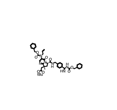 C=CCN(C(=O)OCc1ccccc1)c1cnc2n(c1=O)[C@@H](C(=O)NCc1ccc(C(=N)NC(=O)OCc3ccccc3)cc1)C[C@]2(C)CC(=O)OC(C)(C)C